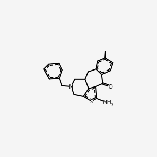 Cc1ccc2c(c1)CC1CN(Cc3ccccc3)Cc3sc(N)c(c31)C2=O